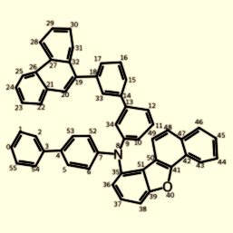 c1ccc(-c2ccc(N(c3cccc(-c4cccc(-c5cc6ccccc6c6ccccc56)c4)c3)c3cccc4oc5c6ccccc6ccc5c34)cc2)cc1